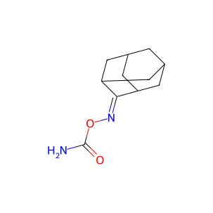 NC(=O)ON=C1C2CC3CC(C2)CC1C3